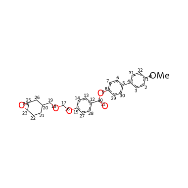 COc1ccc(-c2ccc(OC(=O)c3ccc(OCOCC4CCC5OC5C4)cc3)cc2)cc1